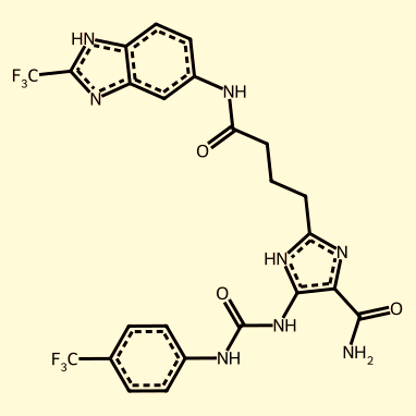 NC(=O)c1nc(CCCC(=O)Nc2ccc3[nH]c(C(F)(F)F)nc3c2)[nH]c1NC(=O)Nc1ccc(C(F)(F)F)cc1